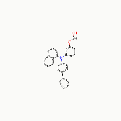 OBOc1cccc(N(c2ccc(-c3ccccc3)cc2)c2cccc3ccccc23)c1